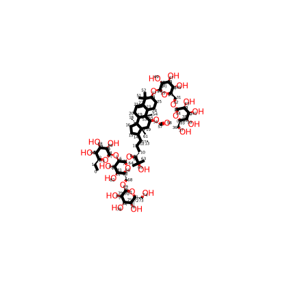 CC[C@@H]1O[C@H](O[C@H]2[C@H](O[C@H](CC[C@@H](C)C3CC[C@@]4(C)C5CC=C6C(CC[C@H](O[C@@H]7O[C@H](CO[C@@H]8O[C@H](CO)[C@@H](O)[C@H](O)[C@H]8O)[C@@H](O)[C@H](O)[C@H]7O)C6(C)C)[C@]5(C)C(OC=O)C[C@]34C)C(C)(C)O)O[C@H](CO[C@@H]3O[C@H](CO)[C@@H](O)[C@H](O)[C@H]3O)[C@@H](O)[C@@H]2O)[C@@H](O)[C@H](O)[C@H]1O